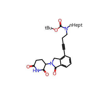 CCCCCCCN(CCC#Cc1cccc2c1CN(C1CCC(=O)NC1=O)C2=O)C(=O)OC(C)(C)C